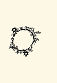 CC[C@H](C)[C@H]1C(=O)N(C)C[C@@H](C)C(=O)N(C)[C@@H](CC(C)C)C(=O)N[C@@H](COC(C)(C)C)C(=O)N(C)[C@@H](CC(C)C)C(=O)N[C@@H](C)C(=O)N(C)[C@@H](C)C(=O)N(C)[C@@H](Cc2ccccc2)C(=O)CNC[C@@H](C)C(=O)N(C)C(CC(C)C)C(=O)N[C@@H]([C@@H](C)O)C(=O)N[C@@H](Cc2ccccc2)C(=O)N1C